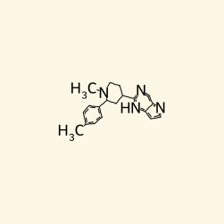 Cc1ccc(C2CC(c3ncc4nccc-4[nH]3)CCN2C)cc1